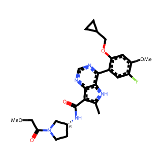 COCC(=O)N1CC[C@@H](NC(=O)c2c(C)[nH]c3c(-c4cc(F)c(OC)cc4OCC4CC4)ncnc23)C1